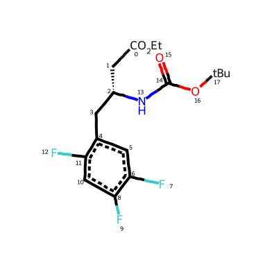 CCOC(=O)C[C@@H](Cc1cc(F)c(F)cc1F)NC(=O)OC(C)(C)C